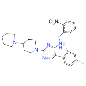 O=[N+]([O-])c1ccccc1CNc1nc(N2CCC(N3CCCCC3)CC2)ncc1-c1ccc(F)cc1F